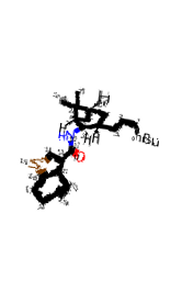 CCCC/C=C\C[C@H]1C[C@H]2C[C@@H]([C@@H]1NC(=O)c1csc3ccccc13)C2(C)C